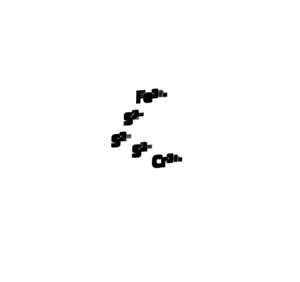 [Cr+3].[Fe+3].[S-2].[S-2].[S-2]